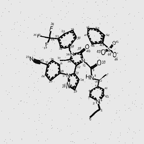 CC[n+]1ccc([C@H](C)NC(=O)n2c(-c3ccnn3-c3ccc(C#N)cc3)c(C)n(-c3cccc(C(F)(F)F)c3)c2=O)cc1.O=S(=O)([O-])c1ccccc1